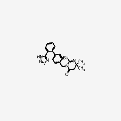 CCCCC1=NC(C)(C)CC(=O)N1Cc1ccc(-c2ccccc2-c2nnn[nH]2)cc1